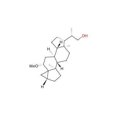 CO[C@@H]1C[C@H]2[C@@H]3CC[C@H]([C@H](C)CO)[C@@]3(C)CC[C@@H]2[C@@]2(C)CC[C@@H]3CC312